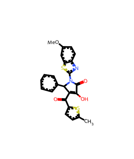 COc1ccc2nc(N3C(=O)C(O)=C(C(=O)c4ccc(C)s4)C3c3ccccc3)sc2c1